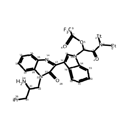 CCN(CC)C(=O)C(OC(=O)C(F)(F)F)n1cc(-c2nc3ccccc3n(CC(N)CC(C)C)c2=O)c2ccccc21